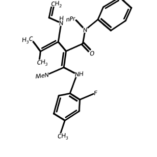 C=CNC(=C(C)C)/C(C(=O)N(CCC)c1ccccc1)=C(\NC)Nc1ccc(C)cc1F